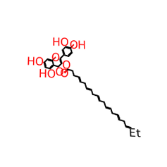 CC/C=C/C/C=C/C/C=C/C/C=C/C/C=C/C/C=C/CCC(=O)Oc1c(-c2ccc(O)c(O)c2)oc2cc(O)cc(O)c2c1=O